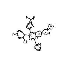 ONC[C@@]1(O)CC2=C(c3ccn(C(F)F)n3)[C@H](c3ccc(F)cc3Cl)N=C(c3nccs3)N2C1